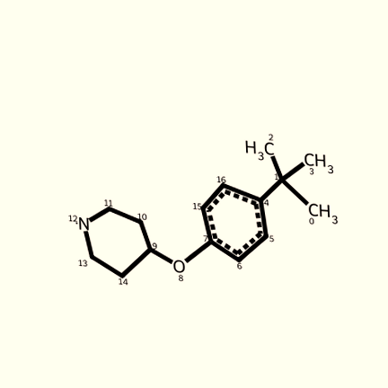 CC(C)(C)c1ccc(OC2CC[N]CC2)cc1